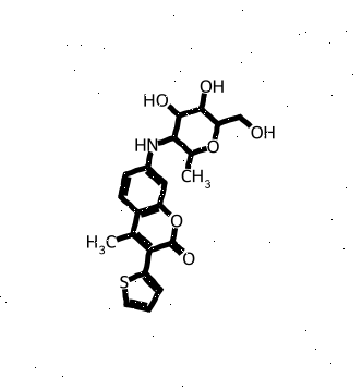 Cc1c(-c2cccs2)c(=O)oc2cc(NC3C(C)OC(CO)C(O)C3O)ccc12